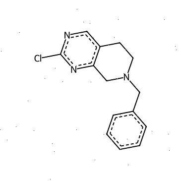 Clc1ncc2c(n1)CN(Cc1ccccc1)CC2